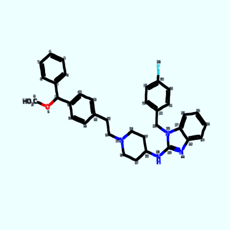 O=C(O)OC(c1ccccc1)c1ccc(CCN2CCC(Nc3nc4ccccc4n3Cc3ccc(F)cc3)CC2)cc1